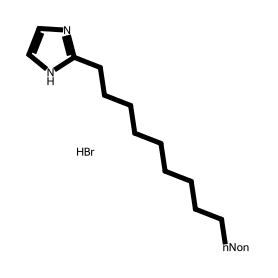 Br.CCCCCCCCCCCCCCCCCCc1ncc[nH]1